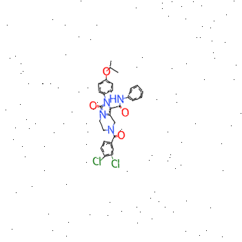 CC(C)Oc1ccc(-n2c(C(=O)Nc3ccccc3)c3n(c2=O)CCN(C(=O)c2ccc(Cl)c(Cl)c2)C3)cc1